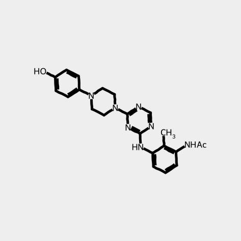 CC(=O)Nc1cccc(Nc2ncnc(N3CCN(c4ccc(O)cc4)CC3)n2)c1C